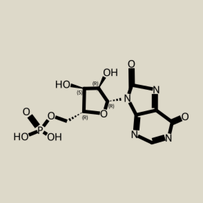 O=C1N=CN=C2C1=NC(=O)N2[C@@H]1O[C@H](COP(=O)(O)O)[C@@H](O)[C@H]1O